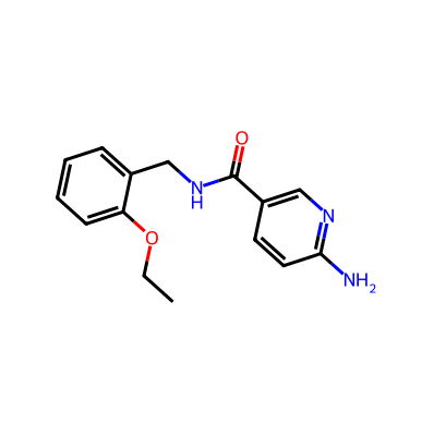 CCOc1ccccc1CNC(=O)c1ccc(N)nc1